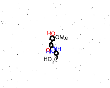 COc1cc(-c2ccc3c(c2)Nc2ccc(CC(=O)O)cc2NC3=O)ccc1O